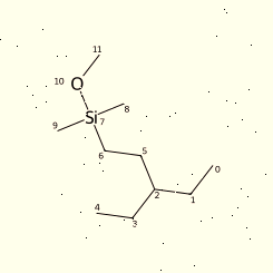 CCC(CC)CC[Si](C)(C)OC